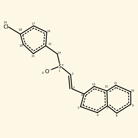 [O-][S+](C=Cc1ccc2ccccc2c1)Cc1ccc(Cl)cc1